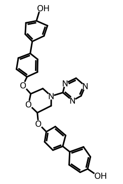 Oc1ccc(-c2ccc(OC3CN(c4ncncn4)CC(Oc4ccc(-c5ccc(O)cc5)cc4)O3)cc2)cc1